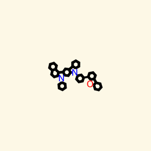 c1ccc(-n2c3cc4c(cc3c3c5ccccc5ccc32)c2ccccc2n4-c2cccc(-c3cccc4c3oc3ccccc34)c2)cc1